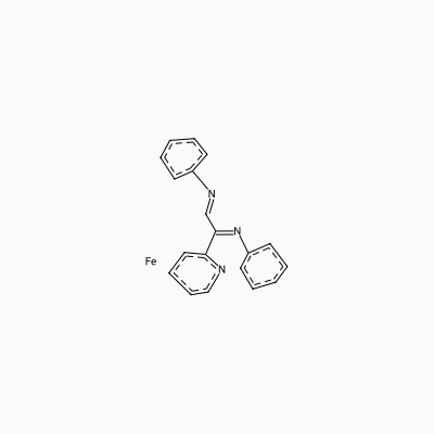 C(=Nc1ccccc1)C(=Nc1ccccc1)c1ccccn1.[Fe]